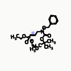 CCOP(=O)(/C=C/CN(OCc1ccccc1)C(=O)OC(C)(C)C)OCC